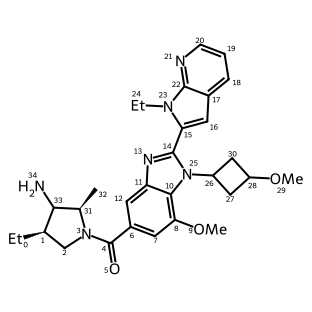 CC[C@@H]1CN(C(=O)c2cc(OC)c3c(c2)nc(-c2cc4cccnc4n2CC)n3C2CC(OC)C2)[C@H](C)C1N